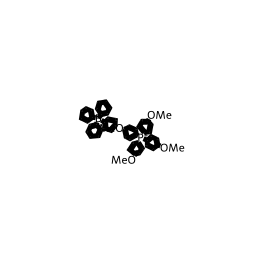 COc1ccc([P+](c2ccc(OC)cc2)(c2ccc(OC)cc2)c2ccc(OC)cc2)cc1.c1ccc([B-](c2ccccc2)(c2ccccc2)c2ccccc2)cc1